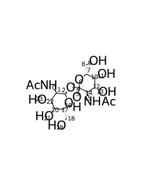 CC(=O)N[C@H]1[C@@H](OC2(O)O[C@H](CO)[C@H](O)[C@H](O)[C@H]2NC(C)=O)O[C@H](CO)[C@H](O)[C@@H]1O